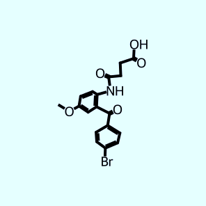 COc1ccc(NC(=O)CCC(=O)O)c(C(=O)c2ccc(Br)cc2)c1